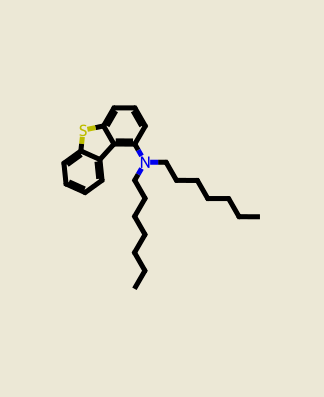 CCCCCCCN(CCCCCCC)c1cccc2sc3ccccc3c12